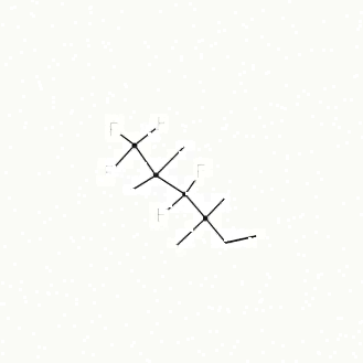 CCC(C)(C)C(F)(F)C(C)(C)C(F)(F)F